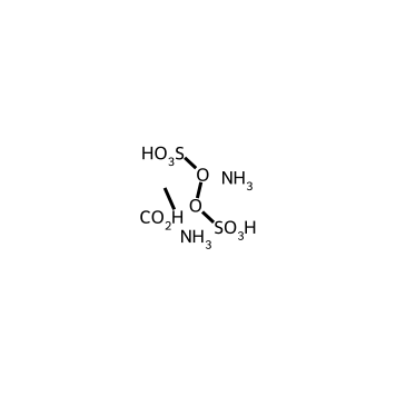 CC(=O)O.N.N.O=S(=O)(O)OOS(=O)(=O)O